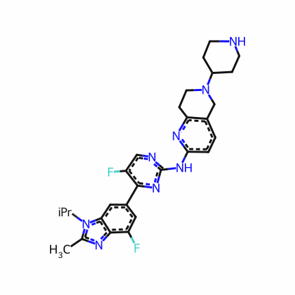 Cc1nc2c(F)cc(-c3nc(Nc4ccc5c(n4)CCN(C4CCNCC4)C5)ncc3F)cc2n1C(C)C